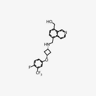 OCc1ccc(CN[C@H]2C[C@H](Oc3ccc(F)c(C(F)(F)F)c3)C2)c2ccncc12